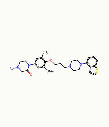 COc1cc(N2CCN(C(C)=O)CC2=O)cc(C)c1OCCCN1CCN(c2cccc3sccc23)CC1